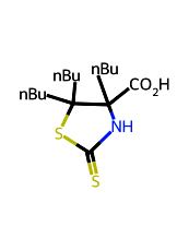 CCCCC1(CCCC)SC(=S)NC1(CCCC)C(=O)O